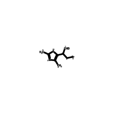 Cc1nc(C)c(C(C=O)CBr)s1